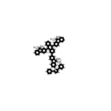 CC1(C)c2ccccc2-c2ccc(-c3c4ccccc4c(-c4ccc5c(c4)C(C)(C)c4ccccc4-5)c4cc(-c5ccc6c(c5)C(C)(C)c5cc(-n7c(-c8ccccc8)ccc7-c7ccccc7)ccc5-6)ccc34)cc21